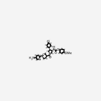 COc1ccc(OC(=O)N[C@@H]2CN(C(=O)C3CCN(c4ccc(N)cn4)CC3)C[C@H]2c2ccc(Cl)cc2)cc1